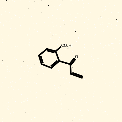 C=CC(=O)c1ccccc1C(=O)O